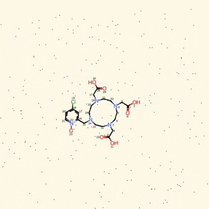 O=C(O)CN1CCN(CC(=O)O)CCN(Cc2cc(Cl)cc[n+]2[O-])CCN(CC(=O)O)CC1